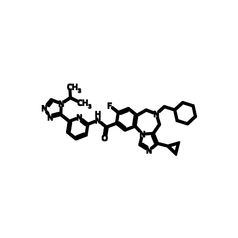 CC(C)n1cnnc1-c1cccc(NC(=O)c2cc3c(cc2F)CN(CC2CCCCC2)Cc2c(C4CC4)ncn2-3)n1